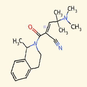 CC1c2ccccc2CCN1C(=O)/C(C#N)=C/C(C)(C)N(C)C